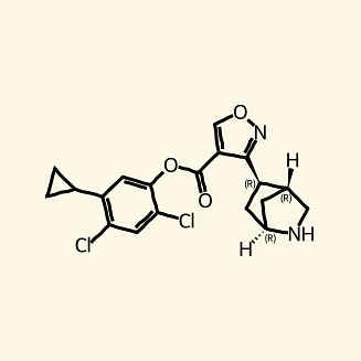 O=C(Oc1cc(C2CC2)c(Cl)cc1Cl)c1conc1[C@@H]1C[C@H]2C[C@H]1CN2